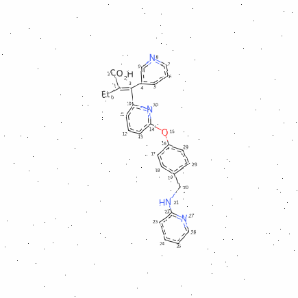 CCC(C(=O)O)=C(c1cccnc1)c1cccc(Oc2ccc(CNc3ccccn3)cc2)n1